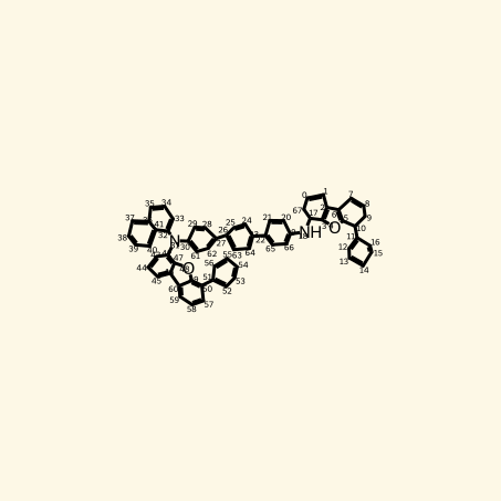 C1=Cc2c(oc3c2C=CCC3c2ccccc2)C(Nc2ccc(-c3ccc(-c4ccc(N(c5cccc6ccccc56)c5cccc6c5oc5c(-c7ccccc7)cccc56)cc4)cc3)cc2)C1